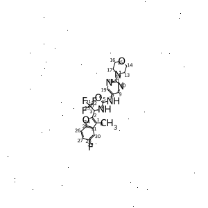 Cc1c([C@H](NC(=O)Nc2cnc(N3CCOCC3)nc2)C(F)(F)F)oc2ccc(F)cc12